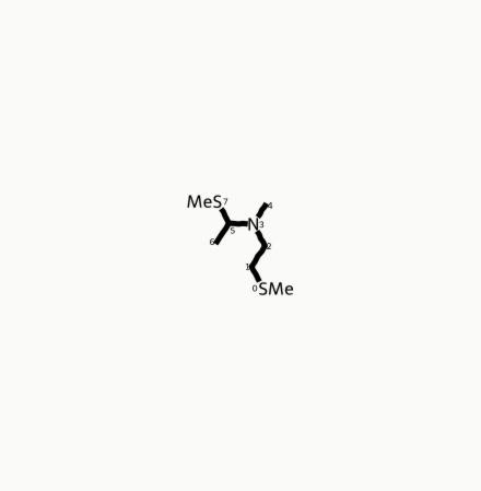 CSCCN(C)C(C)SC